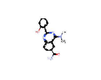 CN(C)c1nc(-c2ccccc2O)nc2ccc(C(N)=O)cc12